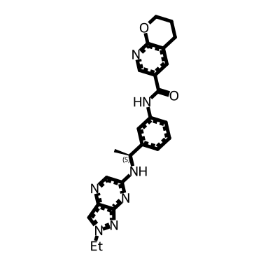 CCn1cc2ncc(N[C@@H](C)c3cccc(NC(=O)c4cnc5c(c4)CCCO5)c3)nc2n1